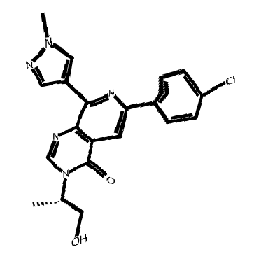 C[C@@H](CO)n1cnc2c(-c3cnn(C)c3)nc(-c3ccc(Cl)cc3)cc2c1=O